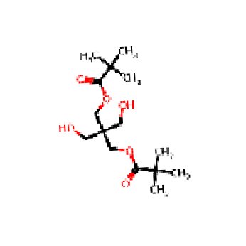 CC(C)(C)C(=O)OCC(CO)(CO)COC(=O)C(C)(C)C